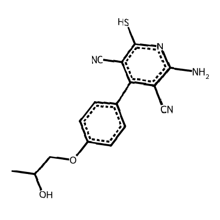 CC(O)COc1ccc(-c2c(C#N)c(N)nc(S)c2C#N)cc1